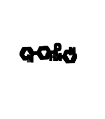 O=C(Nc1cccnc1)c1ccc(-c2ccccn2)cc1